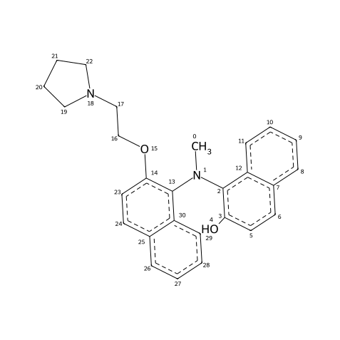 CN(c1c(O)ccc2ccccc12)c1c(OCCN2CCCC2)ccc2ccccc12